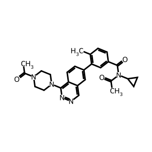 CC(=O)N1CCN(c2nncc3cc(-c4cc(C(=O)N(C(C)=O)C5CC5)ccc4C)ccc23)CC1